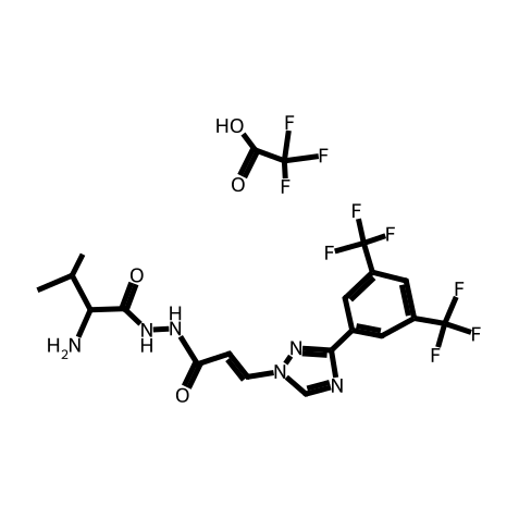 CC(C)C(N)C(=O)NNC(=O)C=Cn1cnc(-c2cc(C(F)(F)F)cc(C(F)(F)F)c2)n1.O=C(O)C(F)(F)F